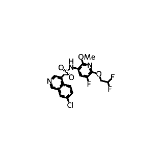 COc1nc(OCC(F)F)c(F)cc1NS(=O)(=O)c1cncc2cc(Cl)ccc12